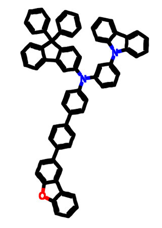 c1ccc(C2(c3ccccc3)c3ccccc3-c3cc(N(c4ccc(-c5ccc(-c6ccc7oc8ccccc8c7c6)cc5)cc4)c4cccc(-n5c6ccccc6c6ccccc65)c4)ccc32)cc1